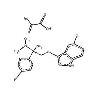 CN(C)C(C)(COc1c[nH]c2ccc(Cl)cc12)c1ccc(F)cc1.O=C(O)C(=O)O